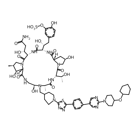 C[C@@H](O)[C@@H]1NC(=O)[C@H](C)N(CC2CCN(c3nnc(-c4ccc(-c5cnc(N6CCC(OC7CCCCC7)CC6)nc5)cc4)s3)CC2)[C@@H](O)CNC(=O)[C@@H]2[C@@H](O)[C@@H](C)CN2C(=O)[C@H]([C@H](O)CC(N)=O)NC(=O)[C@H]([C@H](O)Cc2ccc(O)c(OS(=O)(=O)O)c2)NC(=O)[C@@H]2C[C@@H](O)CN2C1=O